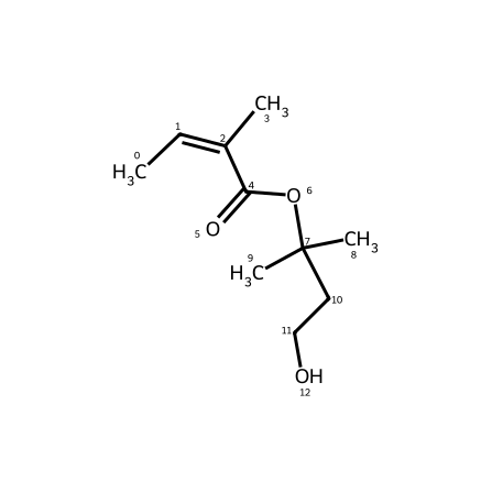 CC=C(C)C(=O)OC(C)(C)CCO